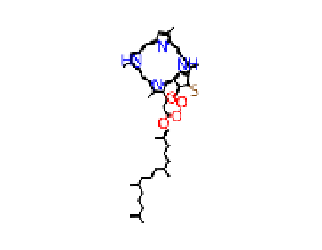 COC(=O)C1C(=S)c2c(C)c3cc4nc(cc5cc(C)c(cc6nc(c1c2[nH]3)C(CCC(=O)O/C=C(\C)CCCC(C)CCCC(C)CCCC(C)C)C6C)[nH]5)C=C4C